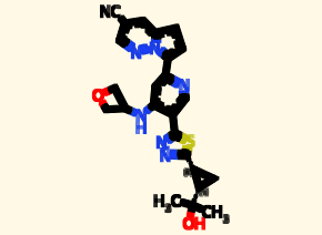 CC(C)(O)[C@H]1C[C@H]1c1nnc(-c2cnc(-c3ccc4cc(C#N)cnn34)cc2NC2COC2)s1